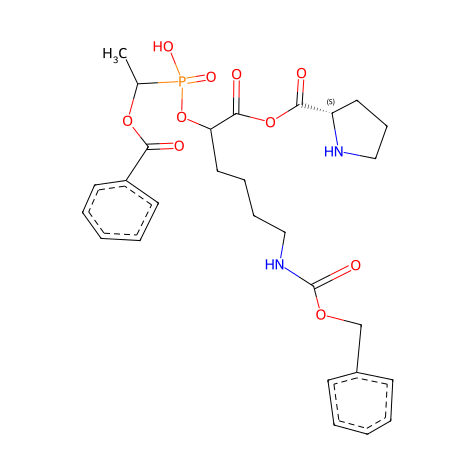 CC(OC(=O)c1ccccc1)P(=O)(O)OC(CCCCNC(=O)OCc1ccccc1)C(=O)OC(=O)[C@@H]1CCCN1